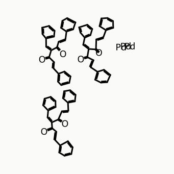 O=C(C=Cc1ccccc1)C(=Cc1ccccc1)C(=O)C=Cc1ccccc1.O=C(C=Cc1ccccc1)C(=Cc1ccccc1)C(=O)C=Cc1ccccc1.O=C(C=Cc1ccccc1)C(=Cc1ccccc1)C(=O)C=Cc1ccccc1.[Pd].[Pd].[Pd]